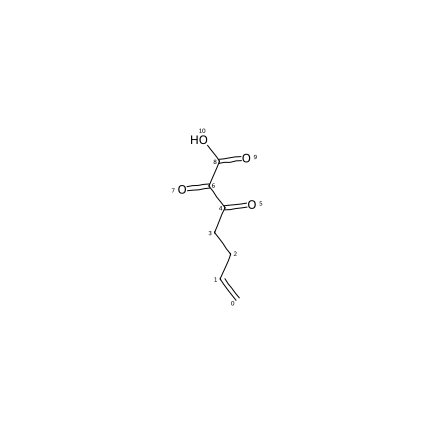 C=CCCC(=O)C(=O)C(=O)O